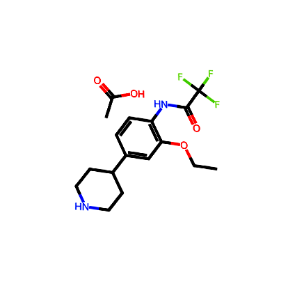 CC(=O)O.CCOc1cc(C2CCNCC2)ccc1NC(=O)C(F)(F)F